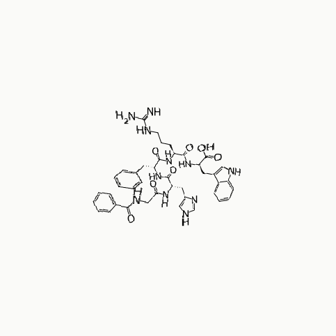 N=C(N)NCCC[C@H](NC(=O)[C@@H](Cc1ccccc1)NC(=O)[C@H](Cc1c[nH]cn1)NC(=O)CNC(=O)c1ccccc1)C(=O)N[C@H](Cc1c[nH]c2ccccc12)C(=O)O